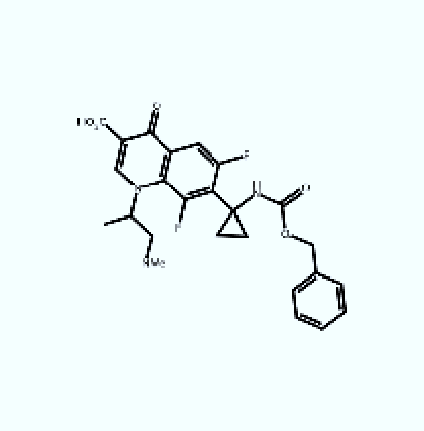 CNCC(C)n1cc(C(=O)O)c(=O)c2cc(F)c(C3(NC(=O)OCc4ccccc4)CC3)c(F)c21